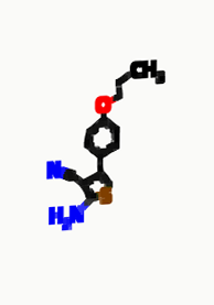 CCCOc1ccc(-c2csc(N)c2C#N)cc1